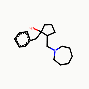 OC1(Cc2ccccc2)CCCC1CN1CCCCCC1